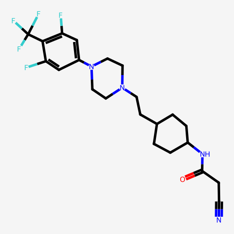 N#CCC(=O)NC1CCC(CCN2CCN(c3cc(F)c(C(F)(F)F)c(F)c3)CC2)CC1